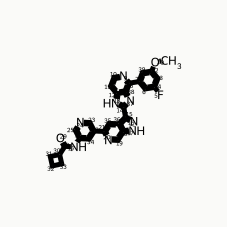 COc1cc(F)cc(-c2nccc3[nH]c(-c4n[nH]c5cnc(-c6cncc(NC(=O)C7CCC7)c6)cc45)nc23)c1